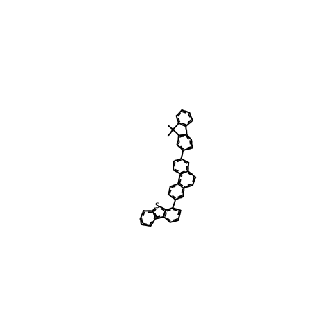 CC1(C)c2ccccc2-c2ccc(-c3ccc4c(ccc5cc(-c6cccc7c6sc6ccccc67)ccc54)c3)cc21